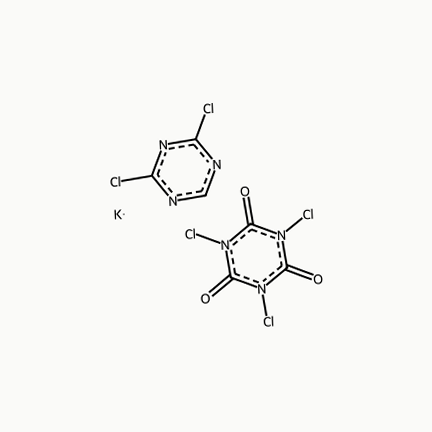 Clc1ncnc(Cl)n1.O=c1n(Cl)c(=O)n(Cl)c(=O)n1Cl.[K]